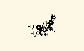 C/C(=N/O)c1c2n(c3ccc(C)cc13)C[C@](C)(NC(=O)c1ccc(-n3cnnc3)cc1Cl)CC2